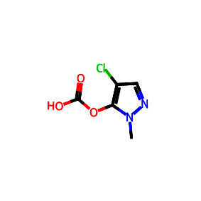 Cn1ncc(Cl)c1OC(=O)O